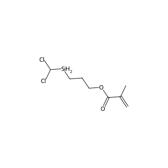 C=C(C)C(=O)OCCC[SiH2]C(Cl)Cl